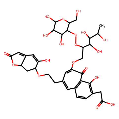 CC(O)C(O)C(O)C(COc1cc(CCOC2CC3OC(=O)C=C3C=C2O)cc2ccc(CC(=O)O)c(O)c2c1=O)OOC1C(CO)OC(O)C(O)C1O